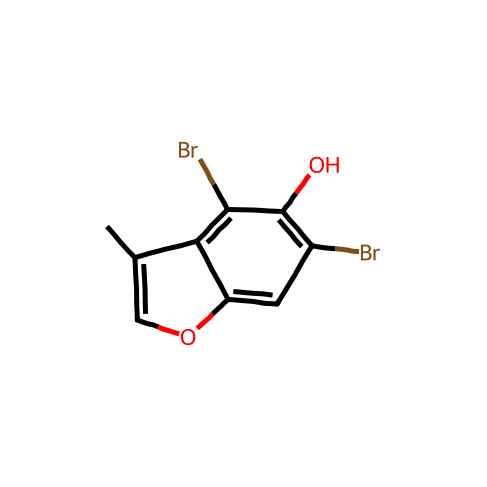 Cc1coc2cc(Br)c(O)c(Br)c12